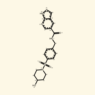 O=C(NCc1ccc(S(=O)(=O)N2CCC(O)CC2)cc1)c1cnc2[nH]ncc2c1